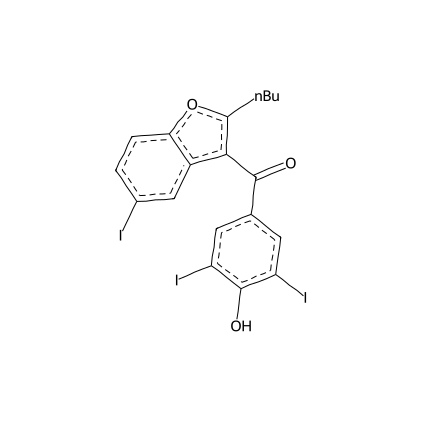 CCCCc1oc2ccc(I)cc2c1C(=O)c1cc(I)c(O)c(I)c1